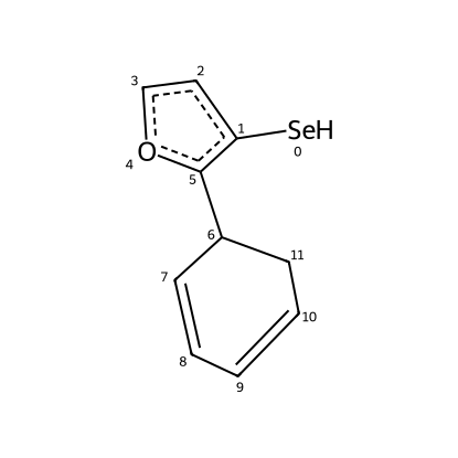 [SeH]c1ccoc1C1C=CC=CC1